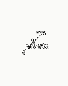 CCCCC/C=C\C/C=C\CCCCCCCC(=O)OCC(COC(=O)CCC(OCCCCCCCC)OCCCCCCCC)COC(=O)NCCCn1ccnc1